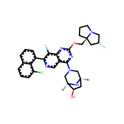 O[C@@H]1C[C@@H]2CN(c3nc(OC[C@@]45CCCN4C[C@H](F)C5)nc4c(F)c(-c5cccc6cccc(Cl)c56)ncc34)C[C@H]1N2